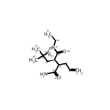 C=CCC(C(N)=O)[C@@H](CC(C)(C)C)C(=O)NCC